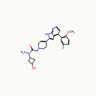 COc1ccc(F)cc1-c1ccnc2[nH]c(C3=CCN(CC(=O)N(C)C4CC(O)C4)CC3)cc12